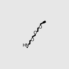 C#CCOCCOCCOCCNC